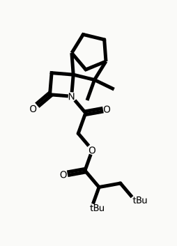 CC(C)(C)CC(C(=O)OCC(=O)N1C(=O)CC12C1CCC(C1)C2(C)C)C(C)(C)C